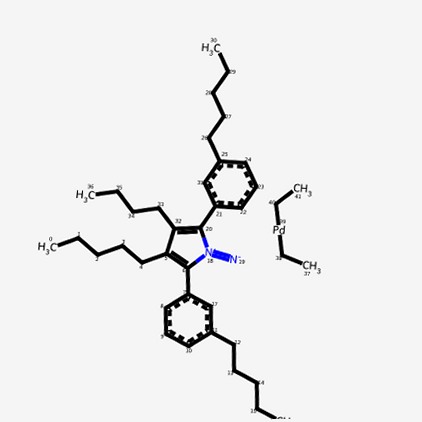 CCCCCC1=C(c2cccc(CCCCC)c2)[N+](=[N-])C(c2cccc(CCCCC)c2)=C1CCCC.C[CH2][Pd][CH2]C